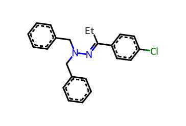 CC/C(=N\N(Cc1ccccc1)Cc1ccccc1)c1ccc(Cl)cc1